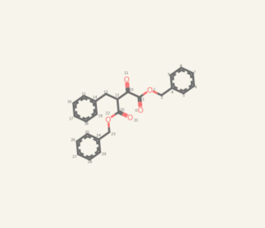 O=C(OCc1ccccc1)C(=O)C(Cc1ccccc1)C(=O)OCc1ccccc1